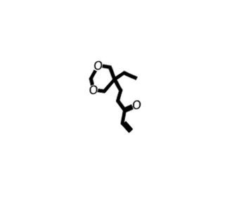 C=CC(=O)CCC1(CC)COCOC1